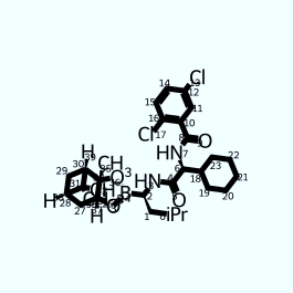 CC(C)C[C@H](NC(=O)[C@@H](NC(=O)c1cc(Cl)ccc1Cl)C1CCCCC1)B1O[C@@H]2C[C@@H]3C[C@@H](C3(C)C)[C@]2(C)O1